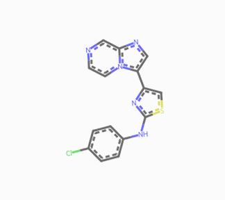 Clc1ccc(Nc2nc(-c3cnc4cnccn34)cs2)cc1